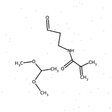 C=C(C)C(=O)NCCC=O.COC(C)OC